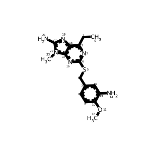 CCc1nc(SCc2ccc(OC)c(N)c2)nc2c1nc(N)n2C